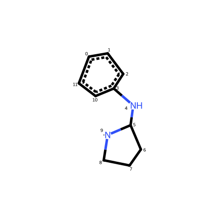 c1ccc(NC2CCC[N]2)cc1